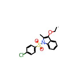 [CH2]COc1c(C)n(S(=O)(=O)c2ccc(Cl)cc2)c2ccccc12